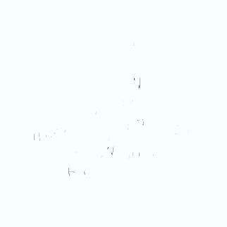 CCN(C(=O)Cn1c(C(=O)N2CCCCC2)cc2sccc21)c1cccc(C)c1